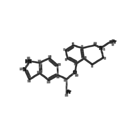 CCCN1CCc2c(cccc2OC(c2ccc3[nH]ncc3c2)C(C)C)C1